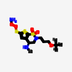 [2H]C([2H])([2H])OCCCN1C[C@H](NCC)c2cc(SOON)sc2S1(=O)=O